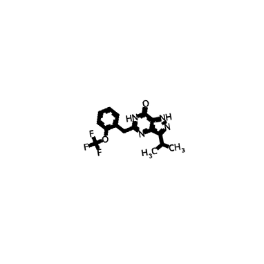 CC(C)c1n[nH]c2c(=O)[nH]c(Cc3ccccc3OC(F)(F)F)nc12